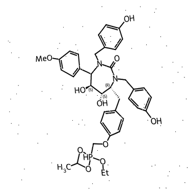 CCO[PH]1(COc2ccc(C[C@@H]3[C@H](O)[C@@H](O)C(c4ccc(OC)cc4)N(Cc4ccc(O)cc4)C(=O)N3Cc3ccc(O)cc3)cc2)OC(C)O1